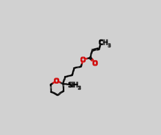 CC=CC(=O)OCCCCC1([SiH3])CCCCO1